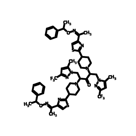 CC(=NOC(C)c1ccccc1)c1csc(C2CCN(C(Cn3nc(C(F)(F)F)cc3C)C(=O)C(Cn3nc(C(F)(F)F)cc3C)N3CCC(c4nc(C(C)=NOC(C)c5ccccc5)cs4)CC3)CC2)n1